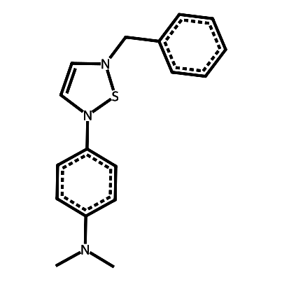 CN(C)c1ccc(N2C=CN(Cc3ccccc3)S2)cc1